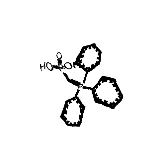 O=P(O)(O)C=P(c1ccccc1)(c1ccccc1)c1ccccc1